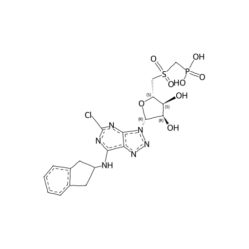 O=P(O)(O)CS(=O)(=O)C[C@H]1O[C@@H](n2nnc3c(NC4Cc5ccccc5C4)nc(Cl)nc32)[C@H](O)[C@@H]1O